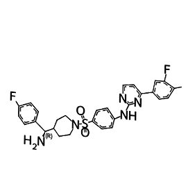 Cc1ccc(-c2ccnc(Nc3ccc(S(=O)(=O)N4CCC([C@@H](N)c5ccc(F)cc5)CC4)cc3)n2)cc1F